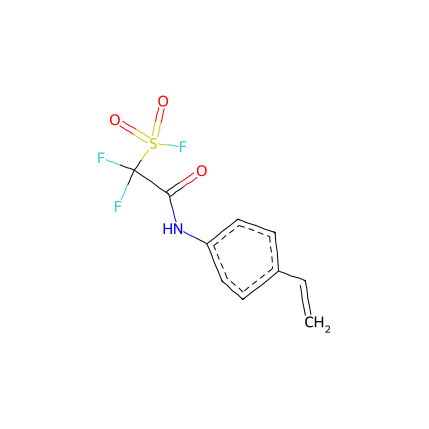 C=Cc1ccc(NC(=O)C(F)(F)S(=O)(=O)F)cc1